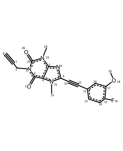 C#CCn1c(=O)c2c(nc(C#Cc3ccc(F)c(OC)c3)n2C)n(C)c1=O